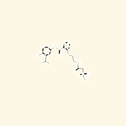 N=C(Nc1ccc(F)c(C(F)F)c1)c1nonc1SCCNC(=O)CS(N)(=O)=O